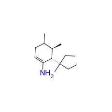 CCC(C)(CC)[C@@H]1C(N)=CCC(C)[C@H]1C